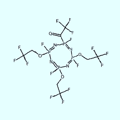 O=C(C(F)(F)F)P1(F)=NP(F)(OCC(F)(F)F)=NP(F)(OCC(F)(F)F)=NP(F)(OCC(F)(F)F)=N1